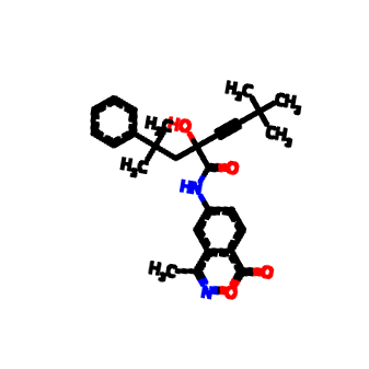 Cc1noc(=O)c2ccc(NC(=O)C(O)(C#CC(C)(C)C)CC(C)(C)c3ccccc3)cc12